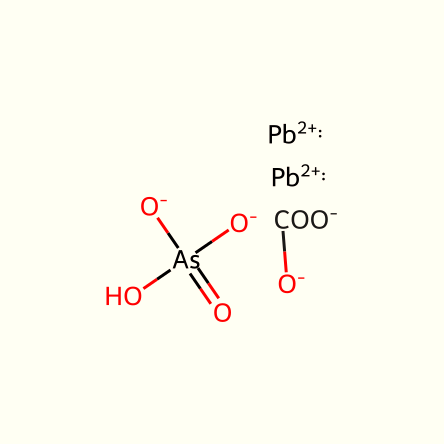 O=C([O-])[O-].O=[As]([O-])([O-])O.[Pb+2].[Pb+2]